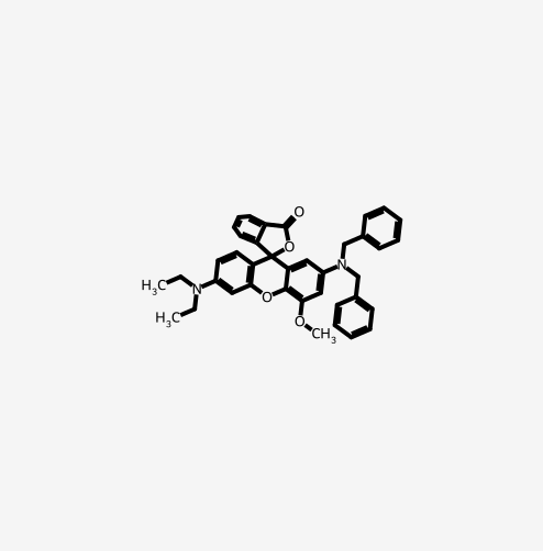 CCN(CC)c1ccc2c(c1)Oc1c(OC)cc(N(Cc3ccccc3)Cc3ccccc3)cc1C21OC(=O)c2ccccc21